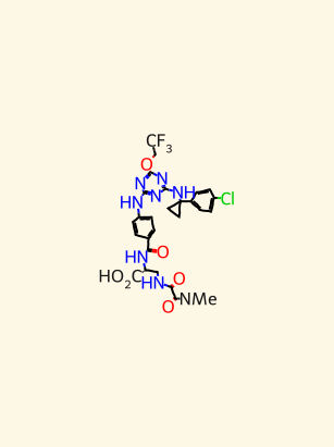 CNC(=O)C(=O)NC[C@@H](NC(=O)c1ccc(Nc2nc(NC3(c4ccc(Cl)cc4)CC3)nc(OCC(F)(F)F)n2)cc1)C(=O)O